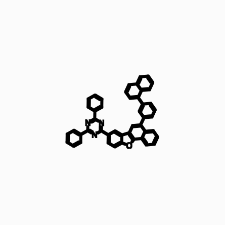 c1ccc(-c2nc(-c3ccccc3)nc(-c3ccc4oc5c6ccccc6c(-c6cccc(-c7cccc8ccccc78)c6)cc5c4c3)n2)cc1